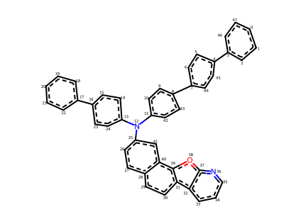 c1ccc(-c2ccc(-c3ccc(N(c4ccc(-c5ccccc5)cc4)c4ccc5ccc6c7cccnc7oc6c5c4)cc3)cc2)cc1